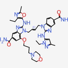 CCc1nc(C)oc1Nc1nc2cc(C(N)=O)cc(OCCCN3CCOCC3)c2n1C/C=C/Cn1c(Nc2cc(C)nn2CC)nc2cc(C(N)=O)ccc21